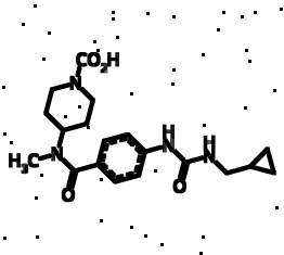 CN(C(=O)c1ccc(NC(=O)NCC2CC2)cc1)C1CCN(C(=O)O)CC1